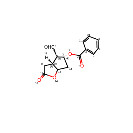 O=C[C@H]1[C@H](OC(=O)c2ccccc2)CC2OC(=O)C[C@@H]21